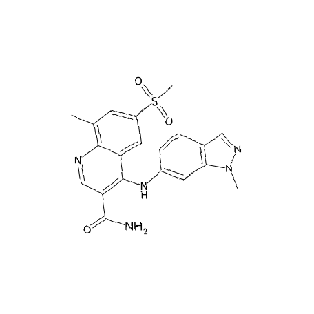 Cc1cc(S(C)(=O)=O)cc2c(Nc3ccc4cnn(C)c4c3)c(C(N)=O)cnc12